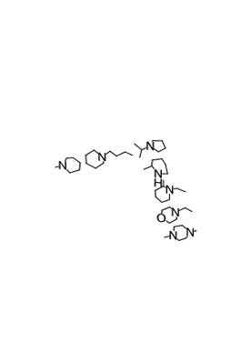 CC(C)N1CCCC1.CC1CCCCN1.CCCCN1CCCCC1.CCN1CCCCC1C.CCN1CCOCC1.CN1CCCCC1.CN1CCN(C)CC1